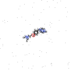 CCN(CC)CCCOc1ccc(CN2CCN(C)CC2)cc1